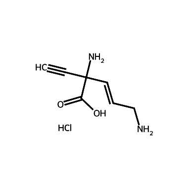 C#CC(N)(C=CCN)C(=O)O.Cl